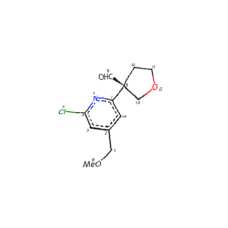 COCc1cc(Cl)nc([C@]2(C=O)CCOC2)c1